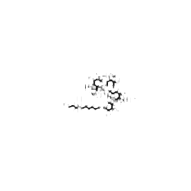 CC(=O)NC1C(OC2C(C(=O)O)OC(OC3C(COS(=O)(=O)O)OC(OC4C(C(=O)O)OC(OCCCCCCNC(=O)CCO)C(O)C4O)C(NC(C)=O)C3O)C(O)C2O)OC(COS(=O)(=O)O)C(O)C1O